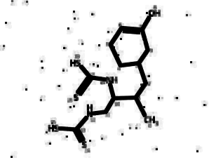 CC(CC1CCC=C(O)C1)C(CNC(=S)S)NC(=S)S